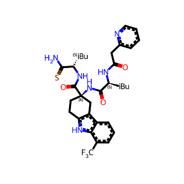 CCC(C)[C@H](NC(=O)Cc1ccccn1)C(=O)N[C@]1(C(=O)NC(C(N)=S)[C@@H](C)CC)CCc2[nH]c3c(C(F)(F)F)cccc3c2C1